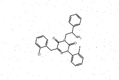 NC(Cn1c(=O)c(Cc2ccccc2Cl)nn(-c2ccccc2F)c1=O)c1ccccc1